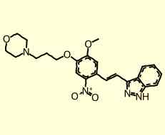 COc1cc(C=Cc2n[nH]c3ccccc23)c([N+](=O)[O-])cc1OCCCN1CCOCC1